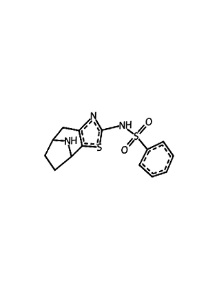 O=S(=O)(Nc1nc2c(s1)C1CCC(C2)N1)c1ccccc1